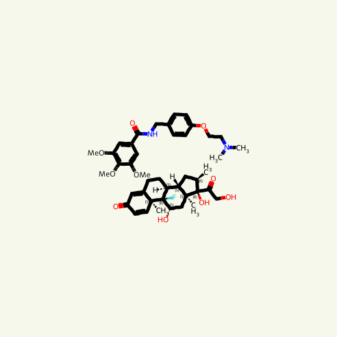 COc1cc(C(=O)NCc2ccc(OCCN(C)C)cc2)cc(OC)c1OC.C[C@@H]1C[C@H]2[C@@H]3CCC4=CC(=O)C=C[C@]4(C)[C@@]3(F)[C@@H](O)C[C@]2(C)[C@@]1(O)C(=O)CO